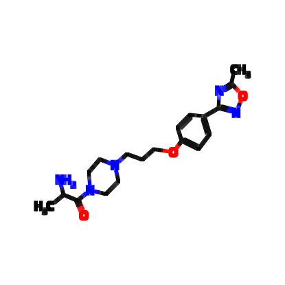 Cc1nc(-c2ccc(OCCCN3CCN(C(=O)C(C)N)CC3)cc2)no1